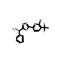 N[C@H](c1ccccc1)c1nnc(-c2ccc(C(F)(F)F)c(Br)n2)o1